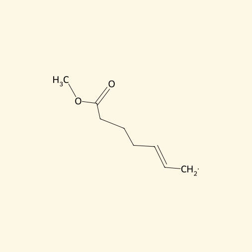 [CH2]/C=C/CCCC(=O)OC